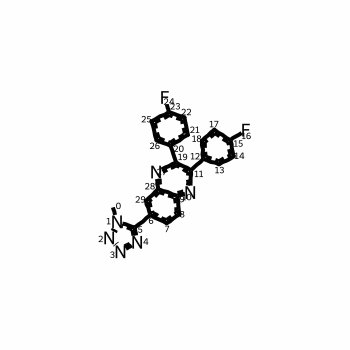 Cn1nnnc1-c1ccc2nc(-c3ccc(F)cc3)c(-c3ccc(F)cc3)nc2c1